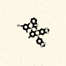 Cc1cc2c3c(c1)N(c1c(C)cc(C(C)(C)C)cc1C)c1c(sc4ccccc14)B3c1cc3c(cc1N2c1ccc2c(c1)OCO2)OCO3